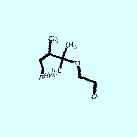 CCCCCCCC(C)C(C)(C)OCC[O]